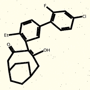 CCc1ccc(-c2ccc(Cl)cc2F)cc1/C1=C(\O)CC2CCC(CC2)CC1=O